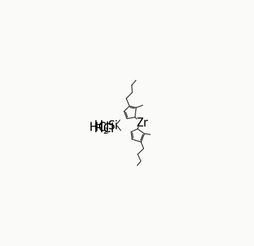 CCCCC1=C(C)[CH]([Zr][CH]2C=CC(CCCC)=C2C)C=C1.C[SiH2]C.Cl.Cl